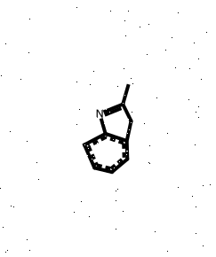 CC1=Nc2ccccc2C1